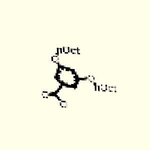 CCCCCCCCOc1cc(OCCCCCCCC)cc(C(=O)Cl)c1